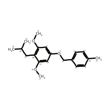 COc1cc(OCc2ccc(C)cc2)cc(OC)c1CC(C)C